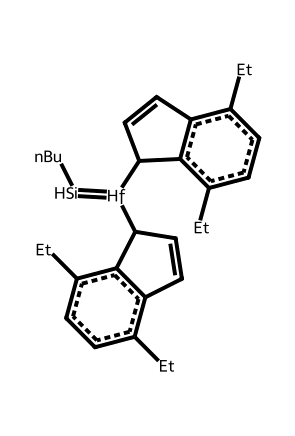 CCCC[SiH]=[Hf]([CH]1C=Cc2c(CC)ccc(CC)c21)[CH]1C=Cc2c(CC)ccc(CC)c21